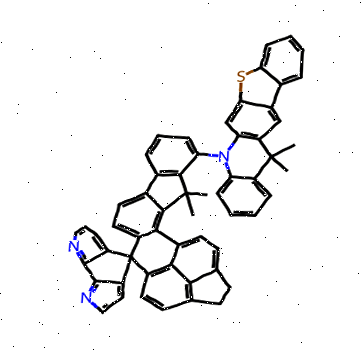 CC1(C)c2ccccc2N(c2cccc3c2C(C)(C)c2c-3ccc3c2-c2ccc4c5c(ccc(c25)C32c3cccnc3-c3ncccc32)CC4)c2cc3sc4ccccc4c3cc21